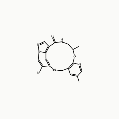 CC1CNC(=O)c2cnn3cc(Br)c(nc23)NCc2cc(F)cnc2O1